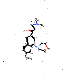 COc1ccc2cc(C(=O)/C=C/N(C)C)cc(N3CCOCC3)c2c1